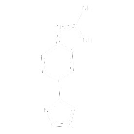 Nc1nc2ccc(-c3cnc[nH]3)cc2[nH]1